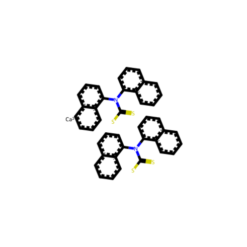 S=C([S-])N(c1cccc2ccccc12)c1cccc2ccccc12.S=C([S-])N(c1cccc2ccccc12)c1cccc2ccccc12.[Ca+2]